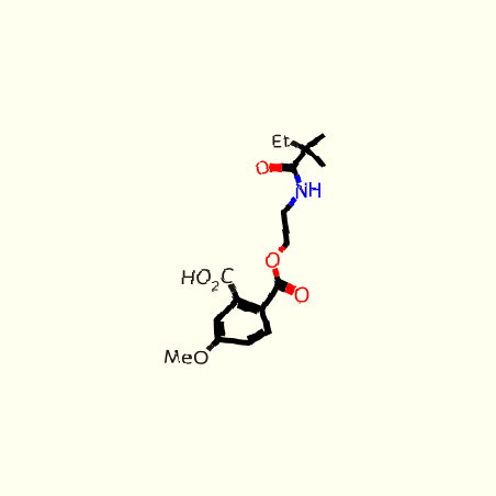 CCC(C)(C)C(=O)NCCOC(=O)c1ccc(OC)cc1C(=O)O